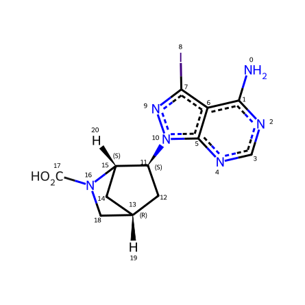 Nc1ncnc2c1c(I)nn2[C@H]1C[C@H]2C[C@@H]1N(C(=O)O)C2